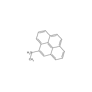 C[SiH2]c1cc2cccc3ccc4cccc1c4c32